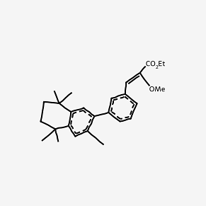 CCOC(=O)C(=Cc1cccc(-c2cc3c(cc2C)C(C)(C)CCC3(C)C)c1)OC